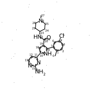 Cc1ccc(Cl)cc1-c1[nH]c(-c2ccnc(N)n2)cc1C(=O)NC1CCN(C)CC1